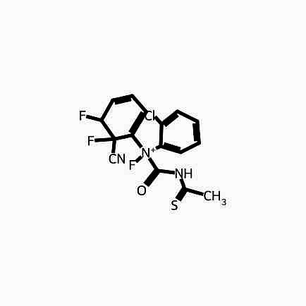 CC(=S)NC(=O)[N+](F)(C1=CC=CC(F)C1(F)C#N)c1ccccc1Cl